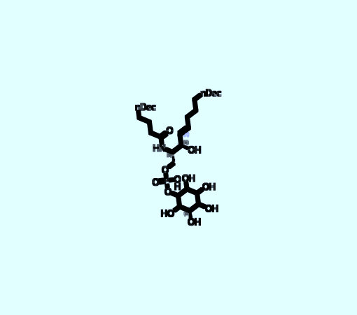 CCCCCCCCCCCCC/C=C/[C@@H](O)[C@H](COP(=O)(O)OC1C(O)C(O)C(O)[C@@H](O)C1O)NC(=O)CCCCCCCCCCCCC